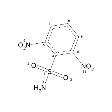 NS(=O)(=O)c1c([N+](=O)[O-])cccc1[N+](=O)[O-]